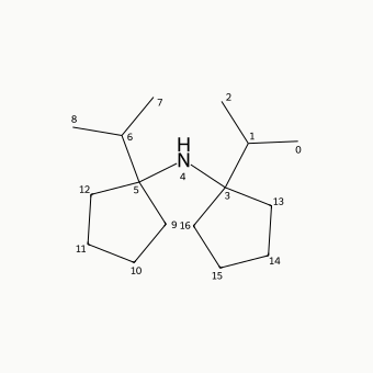 CC(C)C1(NC2(C(C)C)CCCC2)CCCC1